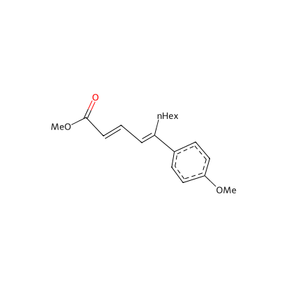 CCCCCCC(=CC=CC(=O)OC)c1ccc(OC)cc1